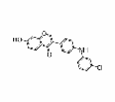 O=c1c(-c2ccc(Nc3cccc(Cl)c3)cc2)coc2cc(O)ccc12